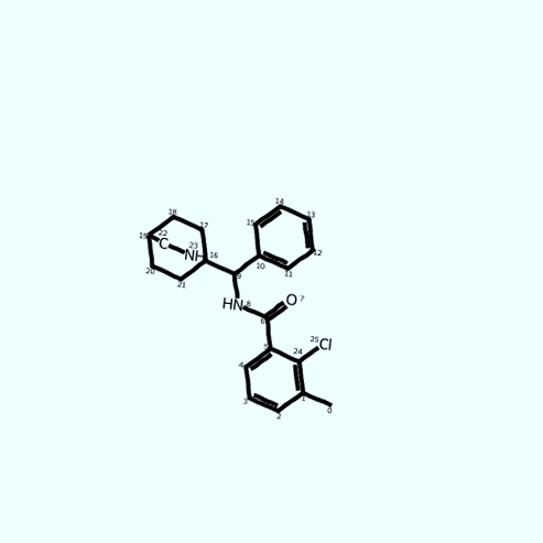 Cc1cccc(C(=O)NC(c2ccccc2)C23CCC(CC2)CN3)c1Cl